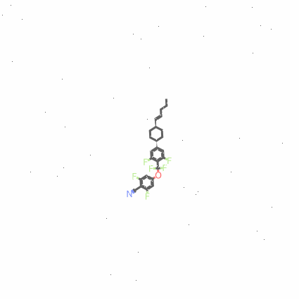 CCCC=C[C@H]1CC[C@H](c2cc(F)c(C(F)(F)Oc3cc(F)c(C#N)c(F)c3)c(F)c2)CC1